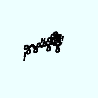 CC1(C)[C@H](C(=O)OCOC(=O)CC(=O)OCI)N2C(=O)C[C@H]2S1(=O)=O